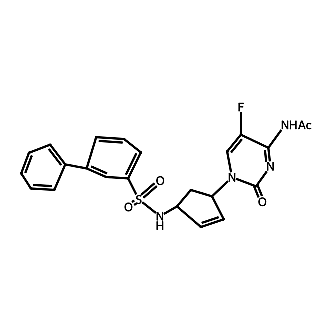 CC(=O)Nc1nc(=O)n(C2C=CC(NS(=O)(=O)c3cccc(-c4ccccc4)c3)C2)cc1F